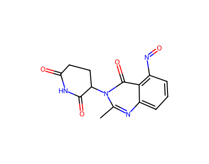 Cc1nc2cccc(N=O)c2c(=O)n1C1CCC(=O)NC1=O